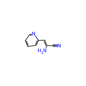 N#CC(N)=Cc1ccccn1